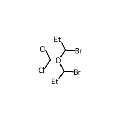 CCC(Br)OC(Br)CC.ClCCl